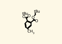 Cc1ccc(C(=O)OC(C)(C)C)c(C(=O)OCC(C)(C)C)c1